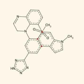 Cn1ccc2ccc(-c3cccc4c3N(c3cc(-c5nn[nH]n5)ccc3S(C)(=O)=O)CC=N4)cc21